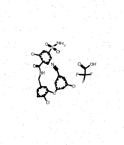 N#Cc1cc(Cl)cc(Oc2cc(CNC(=O)c3ccc(S(N)(=O)=O)cc3Cl)ccc2Cl)c1.O=C(O)C(F)(F)F